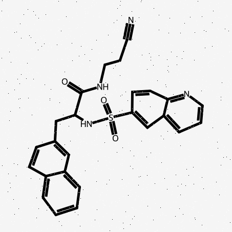 N#CCCNC(=O)C(Cc1ccc2ccccc2c1)NS(=O)(=O)c1ccc2ncccc2c1